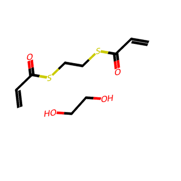 C=CC(=O)SCCSC(=O)C=C.OCCO